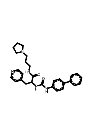 O=C(Nc1ccc(-c2ccccc2)cc1)NC(Cc1ccncc1)C(=O)NCCCN1CCCC1